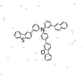 c1cc(-c2ccc3ccccc3c2)cc(N(c2ccc(-c3ccc4c(c3)oc3ccccc34)cc2)c2cccc(-c3ccc4sc5ccccc5c4c3)c2)c1